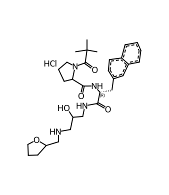 CC(C)(C)C(=O)N1CCCC1C(=O)N[C@H](Cc1ccc2ccccc2c1)C(=O)NCC(O)CNCC1CCCO1.Cl